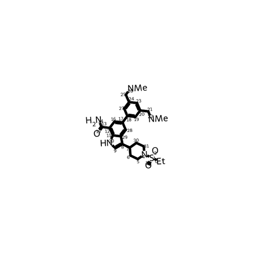 CCS(=O)(=O)N1CCC(c2c[nH]c3c(C(N)=O)cc(-c4cc(CNC)cc(CNC)c4)cc23)CC1